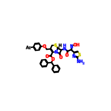 CC(=O)c1ccc(OCC2=C(C(=O)OC(c3ccccc3)c3ccccc3)N3C(=O)C(NC(=O)C(=NO)c4csc(N)n4)[C@@H]3SC2)cc1